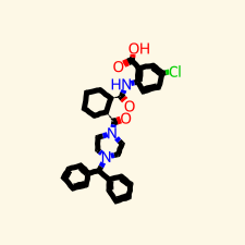 O=C(O)c1cc(Cl)ccc1NC(=O)[C@H]1CCCC[C@H]1C(=O)N1CCN(C(c2ccccc2)c2ccccc2)CC1